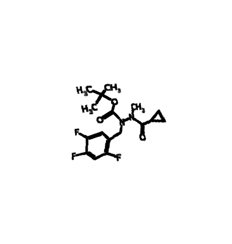 CN(C(=O)C1CC1)N(Cc1cc(F)c(F)cc1F)C(=O)OC(C)(C)C